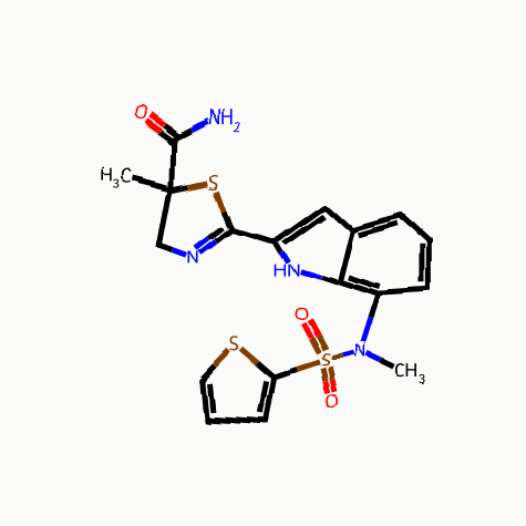 CN(c1cccc2cc(C3=NCC(C)(C(N)=O)S3)[nH]c12)S(=O)(=O)c1cccs1